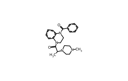 CC(C(=O)N1CCN(C(=O)c2ccccc2)c2ccccc21)N1CCN(C)CC1